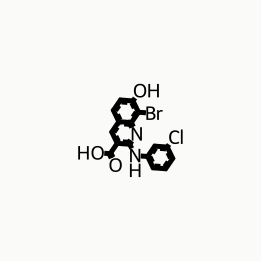 O=C(O)c1cc2ccc(O)c(Br)c2nc1Nc1cccc(Cl)c1